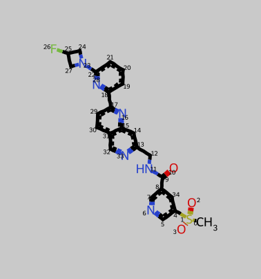 CS(=O)(=O)c1cncc(C(=O)NCc2cc3nc(-c4cccc(N5CC(F)C5)n4)ccc3cn2)c1